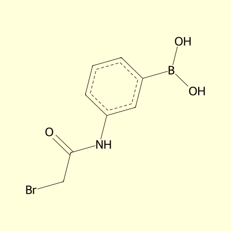 O=C(CBr)Nc1cccc(B(O)O)c1